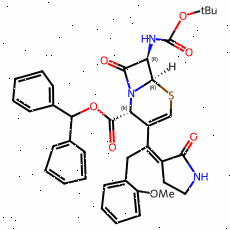 COc1ccccc1CC(C1=CS[C@@H]2[C@H](NC(=O)OC(C)(C)C)C(=O)N2[C@H]1C(=O)OC(c1ccccc1)c1ccccc1)=C1CCNC1=O